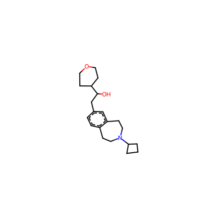 OC(Cc1ccc2c(c1)CCN(C1CCC1)CC2)C1CCOCC1